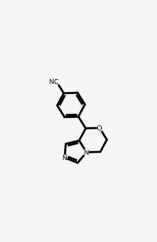 N#Cc1ccc([C]2OCCn3cncc32)cc1